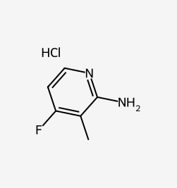 Cc1c(F)ccnc1N.Cl